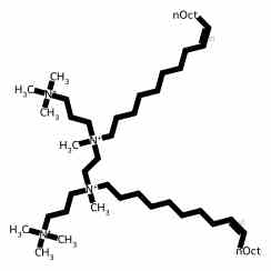 CCCCCCCC/C=C\CCCCCCCC[N+](C)(CCC[N+](C)(C)C)CC[N+](C)(CCCCCCCC/C=C\CCCCCCCC)CCC[N+](C)(C)C